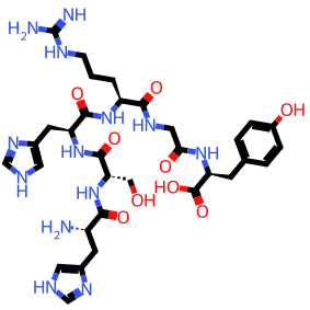 N=C(N)NCCC[C@H](NC(=O)[C@H](Cc1c[nH]cn1)NC(=O)[C@H](CO)NC(=O)[C@@H](N)Cc1c[nH]cn1)C(=O)NCC(=O)N[C@@H](Cc1ccc(O)cc1)C(=O)O